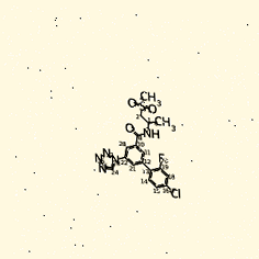 CC(CS(C)(=O)=O)NC(=O)c1cc(-c2ccc(Cl)cc2F)cc(-n2cnnn2)c1